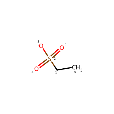 CCS([O])(=O)=O